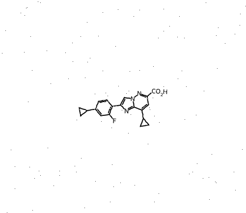 O=C(O)c1cc(C2CC2)c2nc(-c3ccc(C4CC4)cc3F)cn2n1